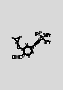 CC(C)[Si](C#Cc1ccc(C=O)c(OC2CC2)c1)(C(C)C)C(C)C